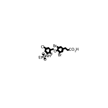 CCS(=O)(=O)Nc1cc(Cl)cc(COc2c(Br)cc(CCC(=O)O)cc2Br)c1F